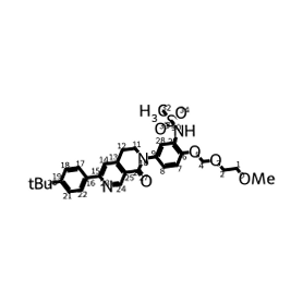 COCCOCOc1ccc(N2CCc3cc(-c4ccc(C(C)(C)C)cc4)ncc3C2=O)cc1NS(C)(=O)=O